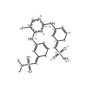 CN(C)S(=O)(=O)C=C1C=C(Nc2nc(NC3=CC(=CS(N)(=O)=O)CC=C3)ncc2F)C=CC1